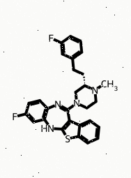 CN1CCN(C2=Nc3ccc(F)cc3Nc3sc4ccccc4c32)C[C@@H]1CCc1cccc(F)c1